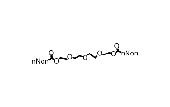 CCCCCCCCCC(=O)OCCOCCOCCOCCOC(=O)CCCCCCCCC